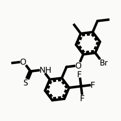 CCc1cc(Br)c(OCc2c(NC(=S)OC)cccc2C(F)(F)F)cc1C